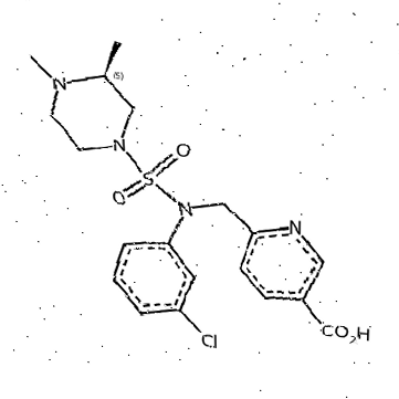 C[C@H]1CN(S(=O)(=O)N(Cc2ccc(C(=O)O)cn2)c2cccc(Cl)c2)CCN1C